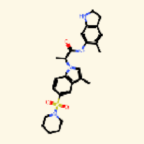 Cc1cc2c(cc1NC(=O)C(C)n1cc(C)c3cc(S(=O)(=O)N4CCCCC4)ccc31)NCC2